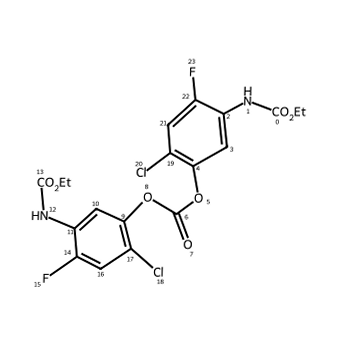 CCOC(=O)Nc1cc(OC(=O)Oc2cc(NC(=O)OCC)c(F)cc2Cl)c(Cl)cc1F